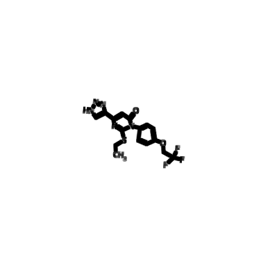 CCSc1nc(-c2c[nH]nn2)cc(=O)n1-c1ccc(OCC(F)(F)F)cc1